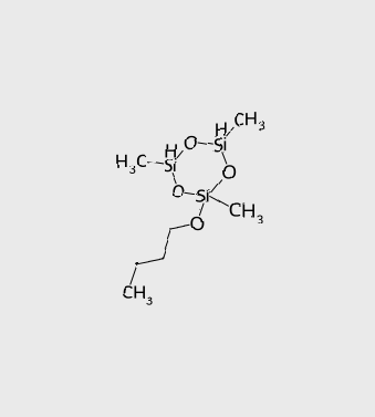 CCCCO[Si]1(C)O[SiH](C)O[SiH](C)O1